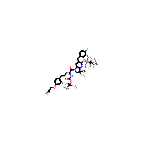 C#CCOc1ccc(CCC[C@H](NC(=O)OC(C)(C)C)C(=O)N2CC(C)(C)c3nc(O[Si](C)(C)C(C)(C)C)c(Cc4ccc(F)cc4)cc32)cc1